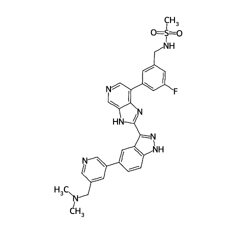 CN(C)Cc1cncc(-c2ccc3[nH]nc(-c4nc5c(-c6cc(F)cc(CNS(C)(=O)=O)c6)cncc5[nH]4)c3c2)c1